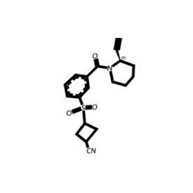 C#C[C@H]1CCCCN1C(=O)c1cccc(S(=O)(=O)C2CC(C#N)C2)c1